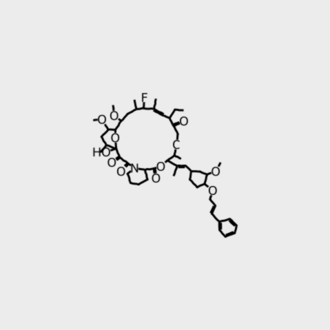 CCC1/C=C(\C)C(F)C(C)CC(OC)C2OC(O)(C(=O)C(=O)N3CCCCC3C(=O)OC(C(C)=CC3CCC(OCC=Cc4ccccc4)C(OC)C3)C(C)CCC1=O)C(C)CC2OC